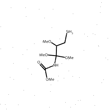 COC(=O)NC(OC)(OC)C(C[SiH3])OC